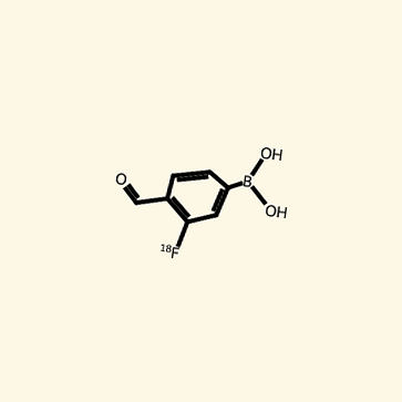 O=Cc1ccc(B(O)O)cc1[18F]